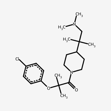 CN(C)CC(C)(C)C1CCN(C(=O)C(C)(C)Oc2ccc(Cl)cc2)CC1